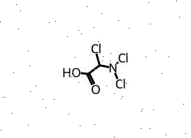 O=C(O)C(Cl)N(Cl)Cl